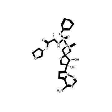 C=NC[C@]1(COP(=O)(N[C@@H](C)C(=O)O[C@H]2CCOC2)Oc2ccccc2)OC[C@](O)(c2ccc3c(N)ncnn23)[C@@H]1O